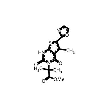 COC(=O)C(C)(C)n1c(=O)[nH]c2sc(-c3ncco3)c(C)c2c1=O